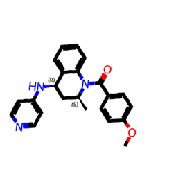 COc1ccc(C(=O)N2c3ccccc3[C@H](Nc3ccncc3)C[C@@H]2C)cc1